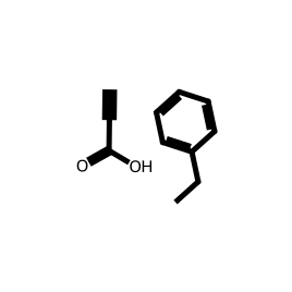 C#CC(=O)O.CCc1ccccc1